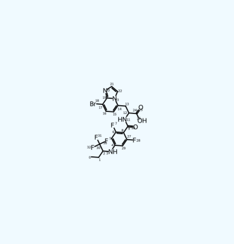 CCC(Nc1cc(F)c(C(=O)NC(Cc2ccc(Br)c3nccn23)C(=O)O)c(F)c1)C(F)(F)F